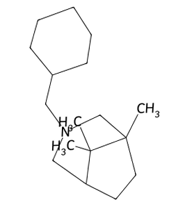 CC12CCC(CN(CC3CCCCC3)C1)C2(C)C